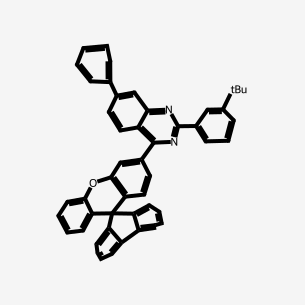 CC(C)(C)c1cccc(-c2nc(-c3ccc4c(c3)Oc3ccccc3C43c4ccccc4-c4ccccc43)c3ccc(-c4ccccc4)cc3n2)c1